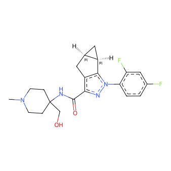 CN1CCC(CO)(NC(=O)c2nn(-c3ccc(F)cc3F)c3c2C[C@H]2C[C@@H]32)CC1